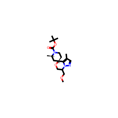 COCC1CO[C@@]2(CCN(C(=O)OC(C)(C)C)[C@H](C)C2)c2c(C)cnn21